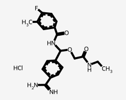 CCNC(=O)COC(NC(=O)c1ccc(F)c(C)c1)c1ccc(C(=N)N)cc1.Cl